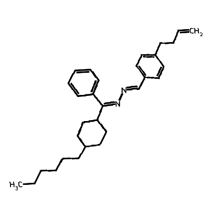 C=CCCc1ccc(C=NN=C(c2ccccc2)C2CCC(CCCCCC)CC2)cc1